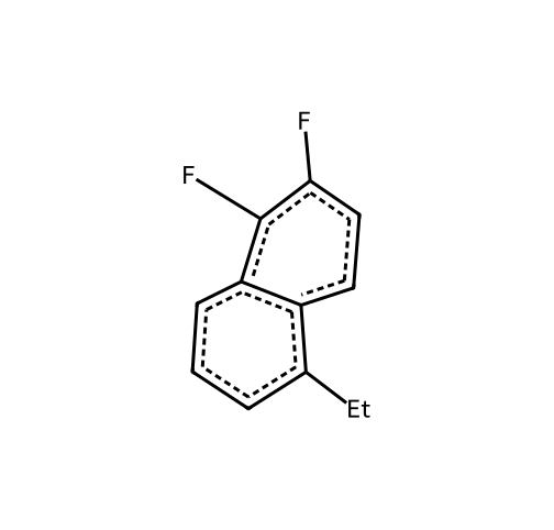 [CH2]Cc1cccc2c(F)c(F)ccc12